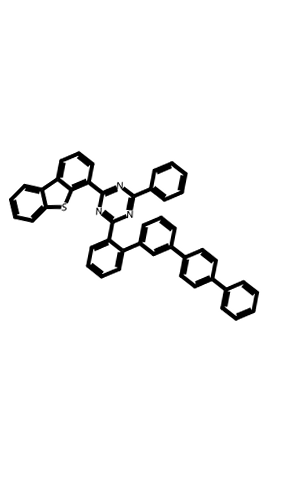 c1ccc(-c2ccc(-c3cccc(-c4ccccc4-c4nc(-c5ccccc5)nc(-c5cccc6c5sc5ccccc56)n4)c3)cc2)cc1